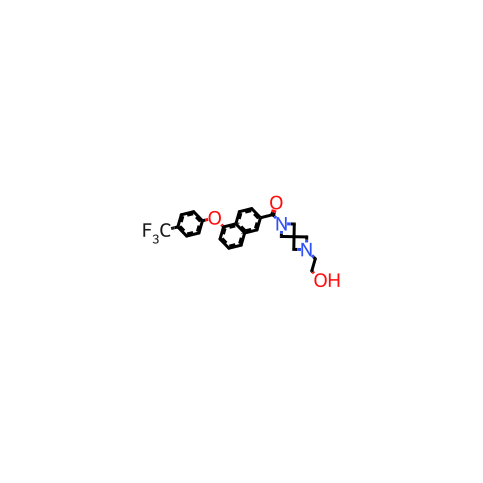 O=C(c1ccc2c(Oc3ccc(C(F)(F)F)cc3)cccc2c1)N1CC2(CN(CCO)C2)C1